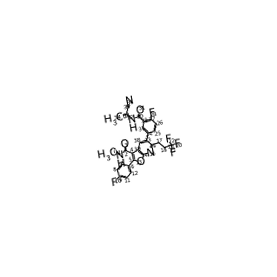 CNC(=O)c1c(-c2ccc(F)cc2)oc2nc(CCC(F)(F)F)c(-c3ccc(F)c(C(=O)N[C@@H](C)C#N)c3)cc12